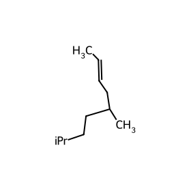 [CH2]C(C)CCC(C)C/C=C/C